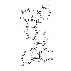 c1ccc2c(c1)c1cccc3c4ccc5c(ccc6c7cccc8c9ccccc9n(c87)c65)c4n2c13